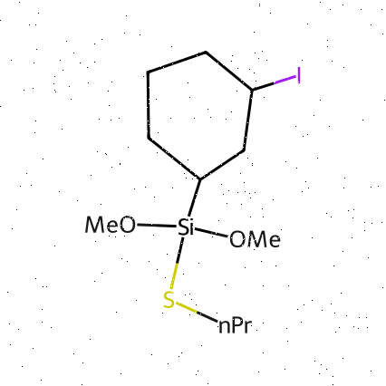 CCCS[Si](OC)(OC)C1CCCC(I)C1